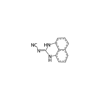 N#CN=C1Nc2cccc3cccc(c23)N1